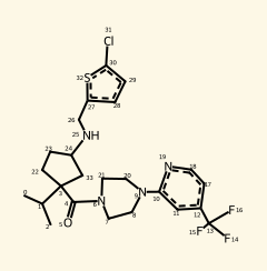 CC(C)C1(C(=O)N2CCN(c3cc(C(F)(F)F)ccn3)CC2)CCC(NCc2ccc(Cl)s2)C1